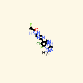 Cn1nccc1Nc1c(F)c(Cl)c(-c2cn3cc(NC(=O)C4CC4F)nc3cn2)c2cn[nH]c12